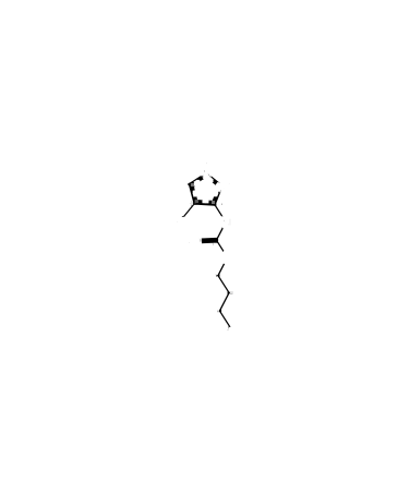 CCCCOC(=O)Nc1sncc1I